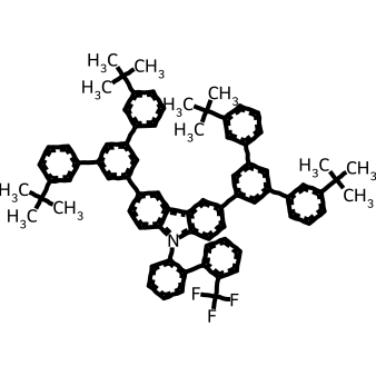 CC(C)(C)c1cccc(-c2cc(-c3cccc(C(C)(C)C)c3)cc(-c3ccc4c(c3)c3cc(-c5cc(-c6cccc(C(C)(C)C)c6)cc(-c6cccc(C(C)(C)C)c6)c5)ccc3n4-c3ccccc3-c3ccccc3C(F)(F)F)c2)c1